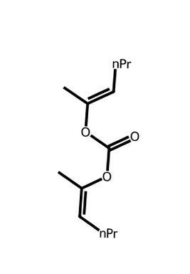 CCCC=C(C)OC(=O)OC(C)=CCCC